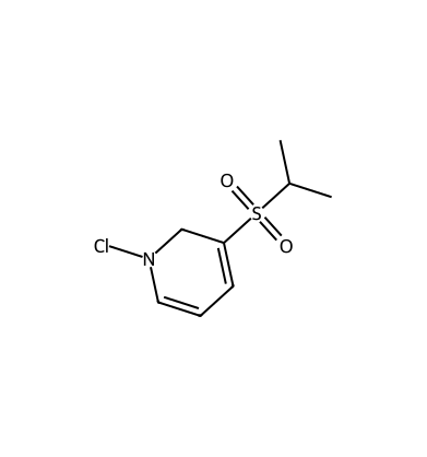 CC(C)S(=O)(=O)C1=CC=CN(Cl)C1